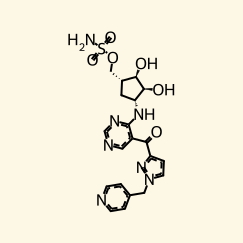 NS(=O)(=O)OC[C@H]1C[C@@H](Nc2ncncc2C(=O)c2ccn(Cc3ccncc3)n2)[C@H](O)[C@@H]1O